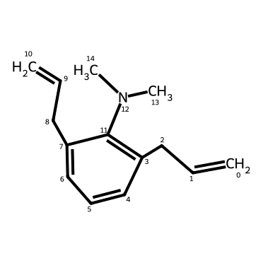 C=CCc1cccc(CC=C)c1N(C)C